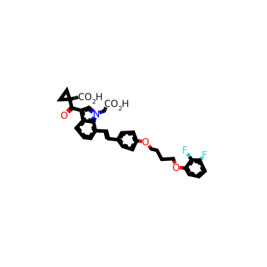 O=C(O)Cn1cc(C(=O)C2(C(=O)O)CC2)c2cccc(C=Cc3ccc(OCCCCOc4cccc(F)c4F)cc3)c21